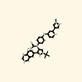 Cn1cc(-c2cc(Oc3ccc(N(C(N)=O)c4cn(C(C)(C)C)nc4-c4ccc5ncncc5c4)cc3)ccn2)cn1